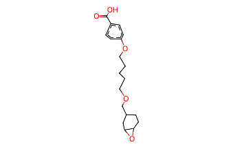 O=C(O)c1ccc(OCCCCCOCC2CCC3OC3C2)cc1